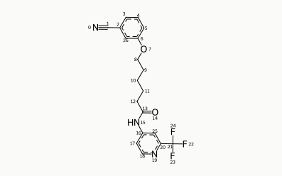 N#Cc1cccc(OCCCCCC(=O)Nc2ccnc(C(F)(F)F)c2)c1